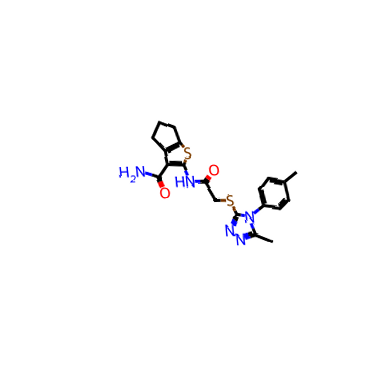 Cc1ccc(-n2c(C)nnc2SCC(=O)Nc2sc3c(c2C(N)=O)CCC3)cc1